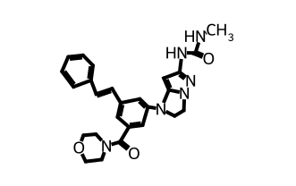 CNC(=O)Nc1cc2n(n1)CCN2c1cc(/C=C/c2ccccc2)cc(C(=O)N2CCOCC2)c1